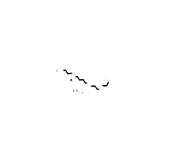 CC(C)C[C@H](N)C(=O)N(CCCCOCC(O)C[S+](C)CC[C@H](N)C(=O)O)C(=O)C(F)(F)F.Cl.S.[Cl-]